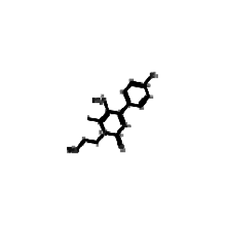 COCCn1c(C)c(C(=O)O)c(-c2ccc(Cl)cc2)nc1=O